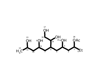 CCC(CC(O)CC(CC(O)CC(C)O)C(O)CO)OC(C)=O